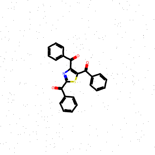 O=C(c1ccccc1)c1nc(C(=O)c2ccccc2)c(C(=O)c2ccccc2)s1